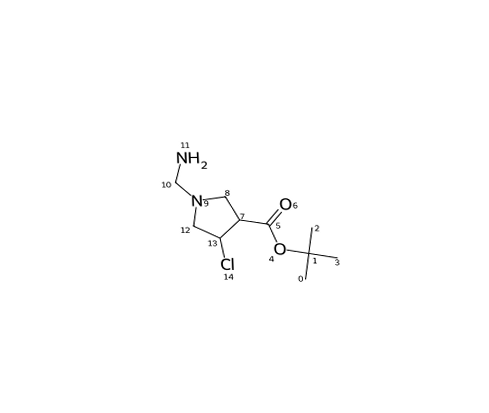 CC(C)(C)OC(=O)C1CN(CN)CC1Cl